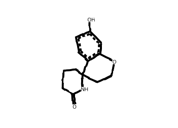 O=C1CCCC2(CCOc3cc(O)ccc32)N1